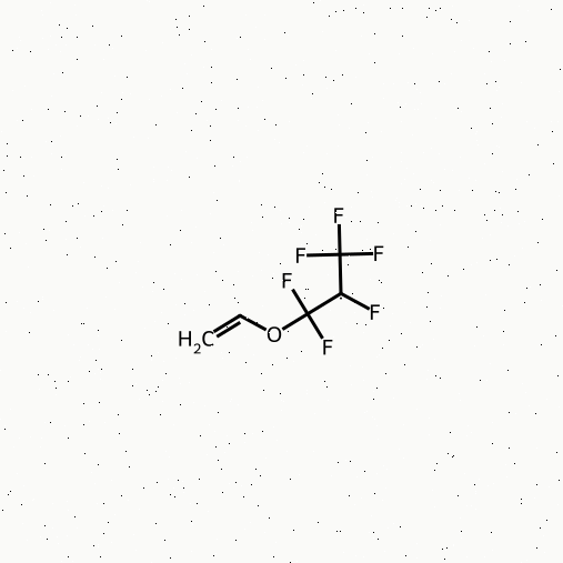 C=COC(F)(F)[C](F)C(F)(F)F